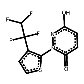 O=c1ccc(O)nn1-c1sccc1C(F)(F)C(F)F